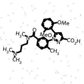 COc1cccc(OC)c1-c1cc(C(=O)O)nn1-c1cc(C(=O)N(C)CCCN(C)C)ccc1C